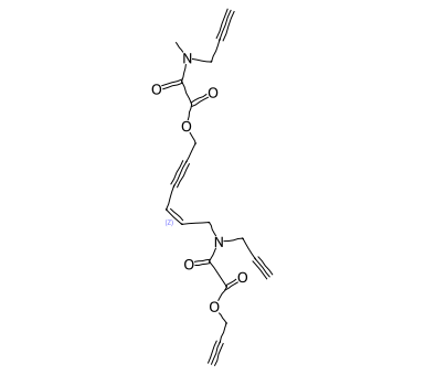 C#CCOC(=O)C(=O)N(CC#C)C/C=C\C#CCOC(=O)C(=O)N(C)CC#C